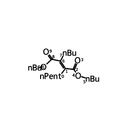 CCCCCC(C(=O)OCCCC)=C(CCCC)C(=O)OCCCC